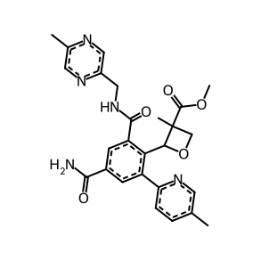 COC(=O)C1(C)COC1c1c(C(=O)NCc2cnc(C)cn2)cc(C(N)=O)cc1-c1ccc(C)cn1